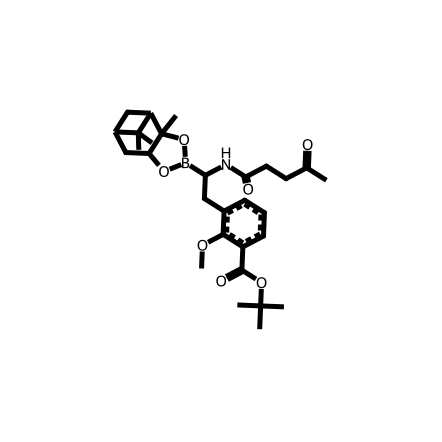 COc1c(CC(NC(=O)CCC(C)=O)B2OC3CC4CC(C4(C)C)C3(C)O2)cccc1C(=O)OC(C)(C)C